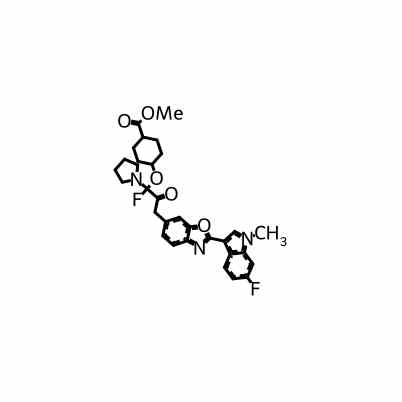 COC(=O)C1CCC(OC(F)(C(=O)Cc2ccc3nc(-c4cn(C)c5cc(F)ccc45)oc3c2)N2CCCC2)CC1